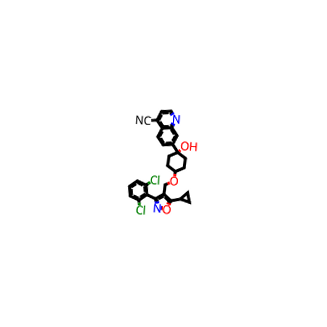 N#Cc1ccnc2cc(C3(O)CCC(OCc4c(-c5c(Cl)cccc5Cl)noc4C4CC4)CC3)ccc12